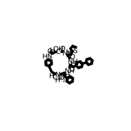 O=C1C[C@@H](O)C(=O)Nc2ccc(cc2)C[C@H](C(=O)O)NC(=O)[C@@H](Cc2ccccc2)NC(=O)[C@H](Cc2ccc(-c3ccccc3)cc2)NC(=O)[C@@H](CC2CC=CS2)N1